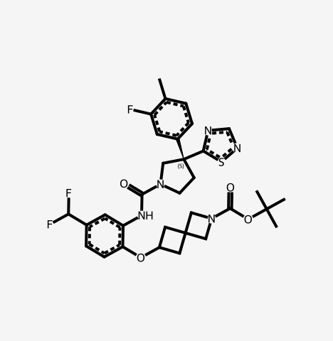 Cc1ccc([C@@]2(c3ncns3)CCN(C(=O)Nc3cc(C(F)F)ccc3OC3CC4(C3)CN(C(=O)OC(C)(C)C)C4)C2)cc1F